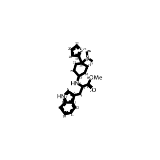 COC(=O)C(Cc1c[nH]c2ccccc12)NC1CCC(c2cccs2)(N(C)C)CC1